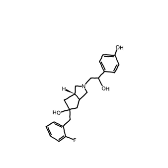 Oc1ccc(C(O)CN2CC3CC(O)(Cc4ccccc4F)C[C@@H]3C2)cc1